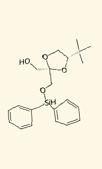 CC(C)(C)[C@H]1CO[C@](CO)(CO[SiH](c2ccccc2)c2ccccc2)O1